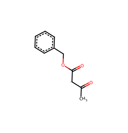 CC(=O)[CH]C(=O)OCc1ccccc1